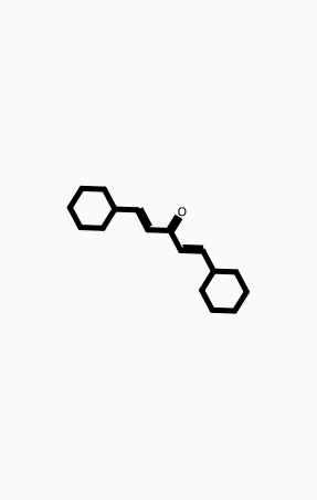 O=C(C=CC1CCCCC1)C=CC1CCCCC1